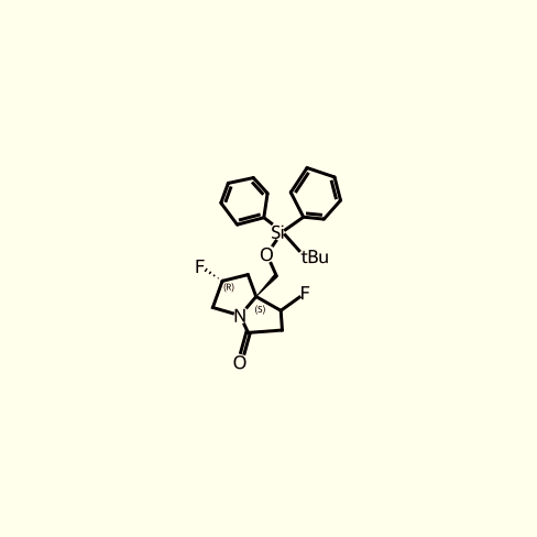 CC(C)(C)[Si](OC[C@]12C[C@@H](F)CN1C(=O)CC2F)(c1ccccc1)c1ccccc1